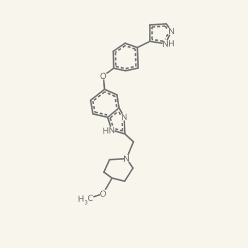 COC1CCN(Cc2nc3cc(Oc4ccc(-c5ccn[nH]5)cc4)ccc3[nH]2)CC1